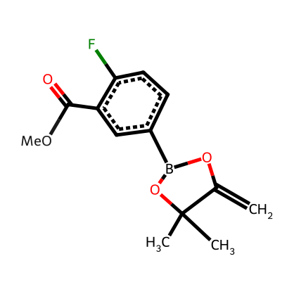 C=C1OB(c2ccc(F)c(C(=O)OC)c2)OC1(C)C